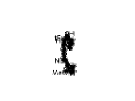 COC(=O)C[C@@H]1N=C(c2ccc(-c3ccc(OCCOCCOCCOCC(=O)N[C@H](C(=O)N4C[C@H](O)C[C@H]4C(=O)N[C@@H](C)c4ccc(-c5scnc5C)cc4)C(C)(C)C)c(C#N)c3)cc2)c2c(sc(C)c2C)-n2c(C)nnc21